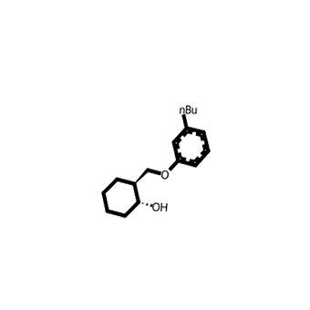 CCCCc1cccc(OC[C@@H]2CCCC[C@H]2O)c1